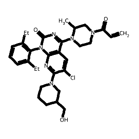 C=CC(=O)N1CCN(c2nc(=O)n(-c3c(CC)cccc3CC)c3nc(N4CCCC(CO)C4)c(Cl)cc23)C(C)C1